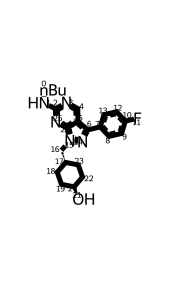 CCCCNc1ncc2c(-c3ccc(F)cc3)nn(C[C@H]3CC[C@H](O)CC3)c2n1